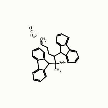 C=CCCC(C1c2ccccc2-c2ccccc21)[C](C)([Zr+2])C1c2ccccc2-c2ccccc21.[Cl-].[Cl-].[SiH4]